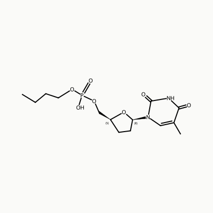 CCCCOP(=O)(O)OC[C@@H]1CC[C@H](n2cc(C)c(=O)[nH]c2=O)O1